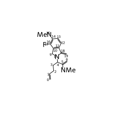 C=CCCC(C(=C)NC)N1Cc2c(ccc(NC)c2F)C1=C